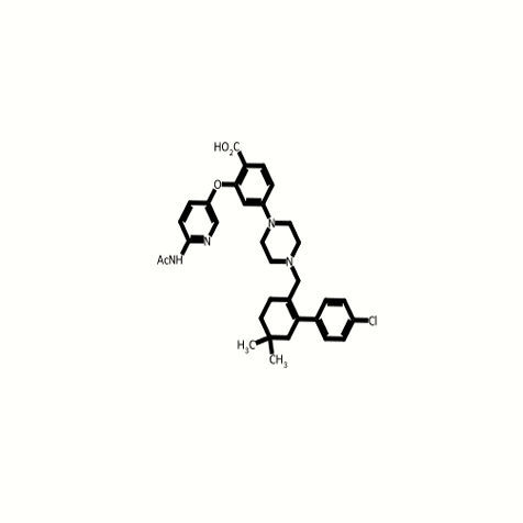 CC(=O)Nc1ccc(Oc2cc(N3CCN(CC4=C(c5ccc(Cl)cc5)CC(C)(C)CC4)CC3)ccc2C(=O)O)cn1